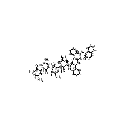 N=C(N)NC(NC(=O)C(NC(=N)N)NC(=O)C(NC(=N)N)NC(=O)C(NC(=N)N)NC(=O)C(NC(=O)C(O)N(Cc1c(O)ccc2ccccc12)c1ncccn1)c1ccccc1)C(N)=O